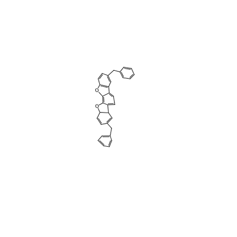 C1=CC2Oc3c(ccc4c3oc3ccc(Cc5ccccc5)cc34)C2C=C1Cc1ccccc1